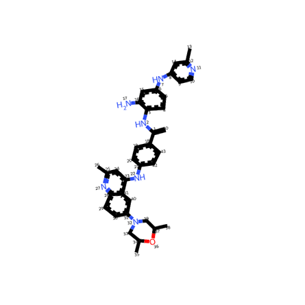 C=C(Nc1ccc(Nc2ccnc(C)c2)cc1N)c1ccc(Nc2cc(C)nc3ccc(N4CC(C)OC(C)C4)cc23)cc1